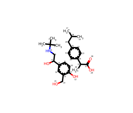 CC(C)(C)NCC(O)c1ccc(O)c(CO)c1.CC(C)Cc1ccc(C(C)C(=O)O)cc1